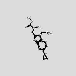 COCn1c(CN(C)C(=O)OC(C)(C)C)nc2cc(C3CC3)ccc21